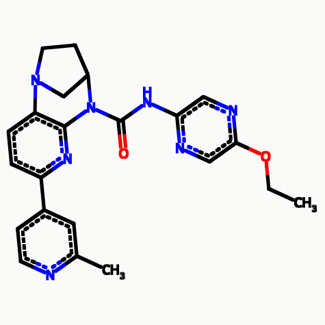 CCOc1cnc(NC(=O)N2c3nc(-c4ccnc(C)c4)ccc3N3CCC2C3)cn1